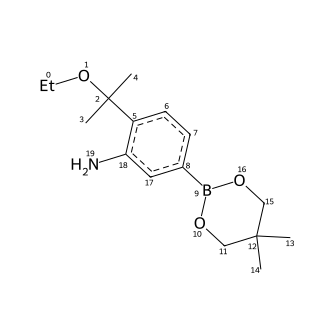 CCOC(C)(C)c1ccc(B2OCC(C)(C)CO2)cc1N